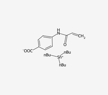 C=CC(=O)Nc1ccc(C(=O)[O-])cc1.CCC[CH2][Sn+]([CH2]CCC)[CH2]CCC